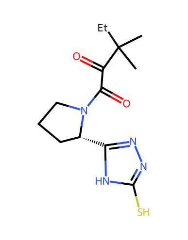 CCC(C)(C)C(=O)C(=O)N1CCC[C@H]1c1nnc(S)[nH]1